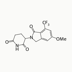 COc1cc2c(c(C(F)(F)F)c1)C(=O)N(C1CCC(=O)NC1=O)C2